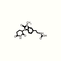 Cn1c(=O)n(C2CCC(=O)NC2=O)c2ccc(CCNC(=O)O)cc21